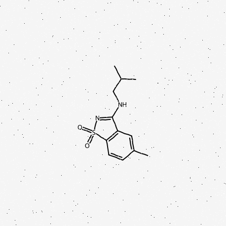 Cc1ccc2c(c1)C(NCC(C)C)=NS2(=O)=O